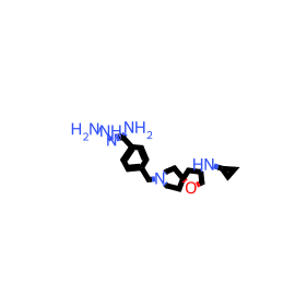 NN/N=C(\N)c1ccc(CN2CCC3(CC2)CC(NC2CC2)CO3)cc1